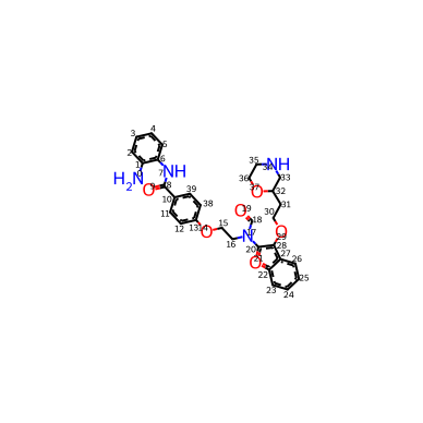 Nc1ccccc1NC(=O)c1ccc(OCCN(C=O)c2oc3ccccc3c2OCCC2CNCCO2)cc1